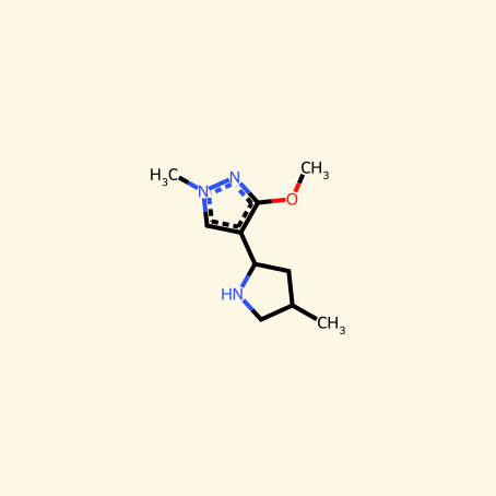 COc1nn(C)cc1C1CC(C)CN1